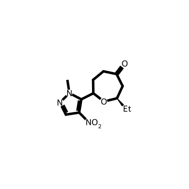 CC[C@@H]1CC(=O)CCC(c2c([N+](=O)[O-])cnn2C)O1